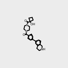 O=C(c1ccc(-c2ccc3c(c2)CCNC3)cc1)N1CCN(C(=O)C2(O)CCC2)CC1